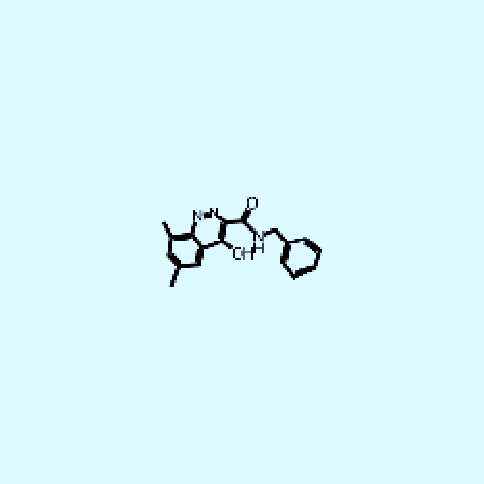 Cc1cc(C)c2nnc(C(=O)NCc3ccccc3)c(O)c2c1